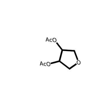 [CH2]C(=O)OC1COCC1OC(C)=O